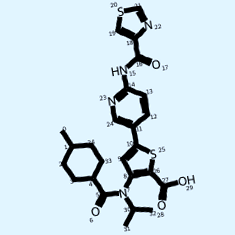 CC1CCC(C(=O)N(c2cc(-c3ccc(NC(=O)c4cscn4)nc3)sc2C(=O)O)C(C)C)CC1